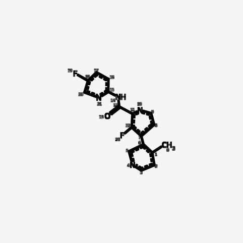 Cc1ccncc1-c1ccnc(C(=O)Nc2ccc(F)cn2)c1F